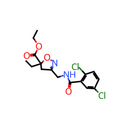 CCOC(=O)C1(CC)CC(CNC(=O)c2cc(Cl)ccc2Cl)=NO1